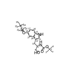 CC(C)(C)OC(=O)NC(CO)Cc1c[nH]c2ccc(O[Si](C)(C)C(C)(C)C)cc12